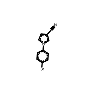 N#Cc1ccn(-c2ccc(Br)cc2)c1